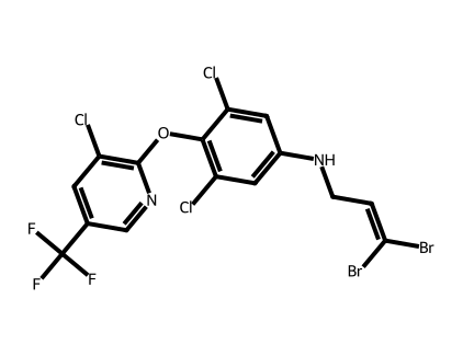 FC(F)(F)c1cnc(Oc2c(Cl)cc(NCC=C(Br)Br)cc2Cl)c(Cl)c1